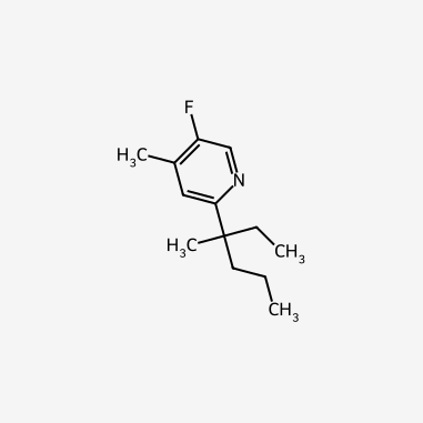 CCCC(C)(CC)c1cc(C)c(F)cn1